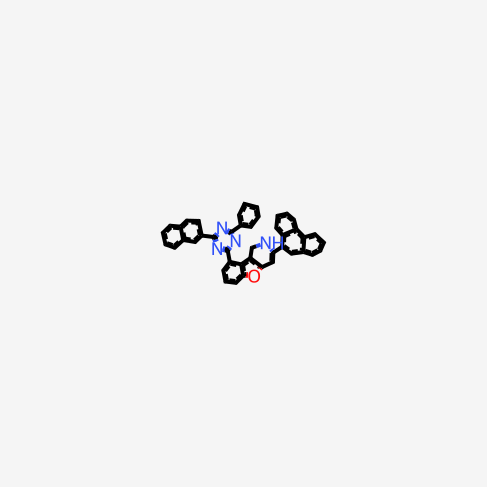 C1=C(c2cc3ccccc3c3ccccc23)NCc2c1oc1cccc(-c3nc(-c4ccccc4)nc(-c4ccc5ccccc5c4)n3)c21